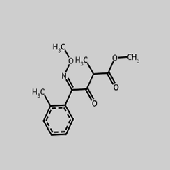 CON=C(C(=O)C(C)C(=O)OC)c1ccccc1C